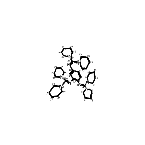 c1cc(N=C(N2CCCCC2)N2CCCCC2)c(N=C(N2CCCCC2)N2CCCCC2)cc1N=C(N1CCCCC1)N1CCCCC1